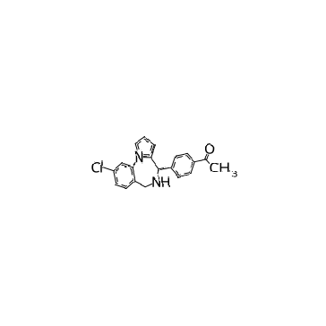 CC(=O)c1ccc(C2NCc3ccc(Cl)cc3-n3cccc32)cc1